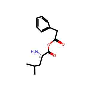 CC(C)C[C@H](N)C(=O)OC(=O)Cc1ccccc1